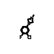 CN1CB(c2ccc(F)c(Cl)c2)C1